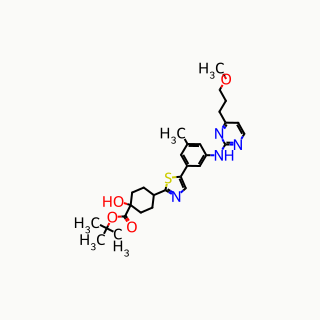 COCCCc1ccnc(Nc2cc(C)cc(-c3cnc(C4CCC(O)(C(=O)OC(C)(C)C)CC4)s3)c2)n1